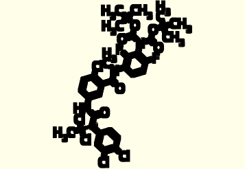 CN(C(=O)c1cc(NC(=O)[C@H](c2ccc(Cl)c(Cl)c2)C(C)(Cl)Cl)ccc1Cl)c1ccc(F)c(N(C(=O)OC(C)(C)C)C(=O)OC(C)(C)C)c1F